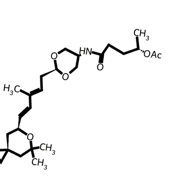 CC(=O)O[C@@H](C)CCC(=O)N[C@H]1CO[C@@H](C/C=C(C)/C=C/[C@@H]2C[C@]3(CO3)CC(C)(C)O2)OC1